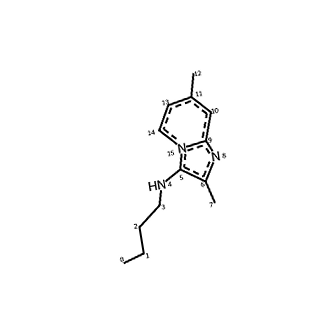 CCCCNc1c(C)nc2cc(C)ccn12